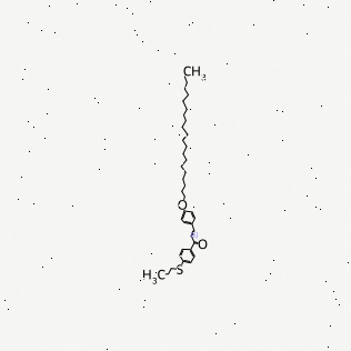 CCCCCCCCCCCCCCCCCCCCCOc1ccc(/C=C/C(=O)c2ccc(SCCC)cc2)cc1